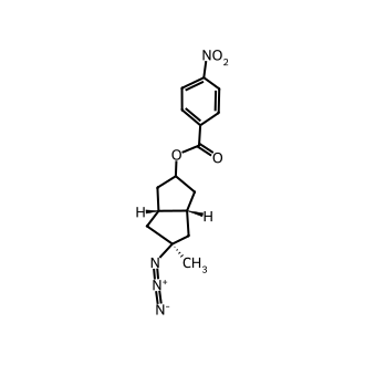 C[C@@]1(N=[N+]=[N-])C[C@H]2CC(OC(=O)c3ccc([N+](=O)[O-])cc3)C[C@H]2C1